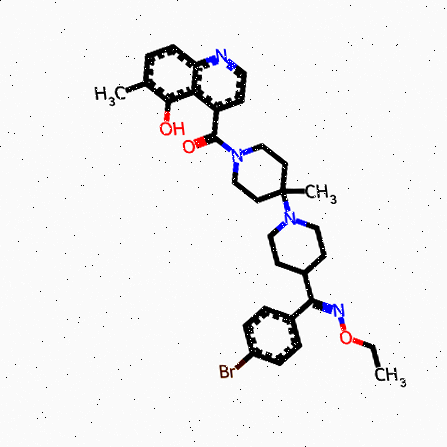 CCON=C(c1ccc(Br)cc1)C1CCN(C2(C)CCN(C(=O)c3ccnc4ccc(C)c(O)c34)CC2)CC1